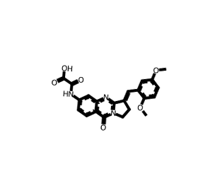 COc1ccc(OC)c(C=C2CCn3c2nc2cc(NC(=O)C(=O)O)ccc2c3=O)c1